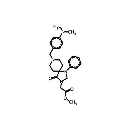 COC(=O)CN1CN(c2ccccc2)C2(CCN(Cc3ccc(N(C)C)cc3)CC2)C1=O